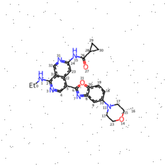 CCNc1ncc(-c2nc3cc(N4CCO[C@@H](C)C4)ccc3o2)c2cc(NC(=O)C3CC3)ncc12